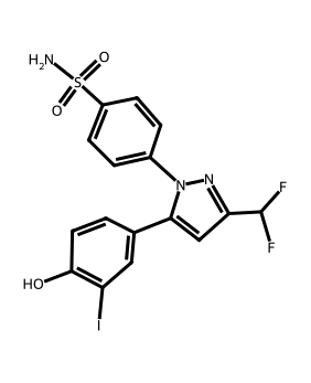 NS(=O)(=O)c1ccc(-n2nc(C(F)F)cc2-c2ccc(O)c(I)c2)cc1